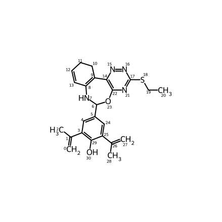 C=C(C)c1cc(C2NC3=C(CCC=C3)c3nnc(SCC)nc3O2)cc(C(=C)C)c1O